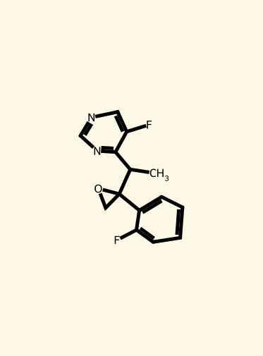 CC(c1ncncc1F)C1(c2ccccc2F)CO1